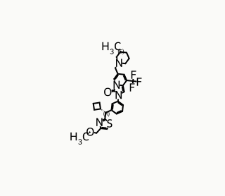 COCc1csc([C@@H](c2cccc(-n3cc4c(C(F)(F)F)cc(CN5CCC[C@H](C)C5)cn4c3=O)c2)C2CCC2)n1